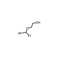 CCCC(CC)OCCO